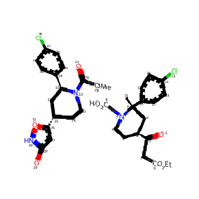 CCOC(=O)CC(=O)[C@H]1CCN(C(=O)O)[C@](C)(c2ccc(Cl)cc2)C1.COC(=O)N1CC[C@H](c2cc(=O)[nH]o2)C[C@H]1c1ccc(Cl)cc1